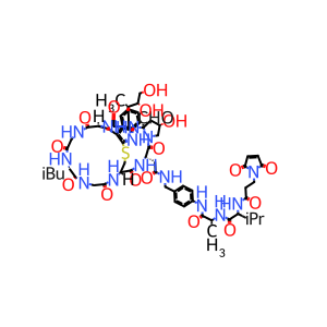 CC[C@H](C)[C@@H]1NC(=O)CNC(=O)[C@@H]2Cc3c([nH]c4ccccc34)SC[C@@H](NC(=O)CNC1=O)C(=O)N[C@@H](CC(=O)NCc1ccc(NC(=O)[C@H](C)NC(=O)C(NC(=O)CCN3C(=O)C=CC3=O)C(C)C)cc1)C(=O)N1C[C@H](O)CC1(C=O)N[C@@H]([C@@H](C)[C@@H](O)CO)C(=O)N2